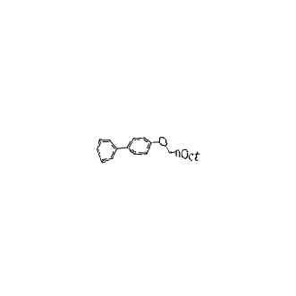 CCCCCCCCCOc1ccc(-c2cc[c]cc2)cc1